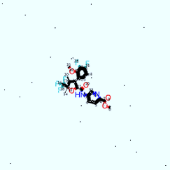 COC(=O)c1ccc(NC(=O)[C@@H]2O[C@@](C)(C(F)(F)F)[C@@H](C)[C@H]2c2ccc(F)c(F)c2OC)cn1